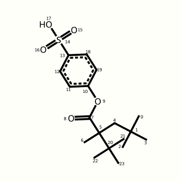 CC(C)(C)CC(C)(C(=O)Oc1ccc(S(=O)(=O)O)cc1)C(C)(C)C